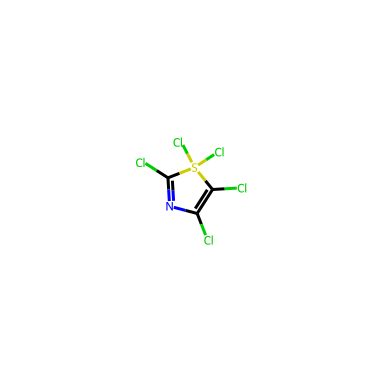 ClC1=NC(Cl)=C(Cl)S1(Cl)Cl